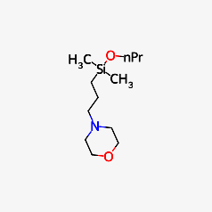 CCCO[Si](C)(C)CCCN1CCOCC1